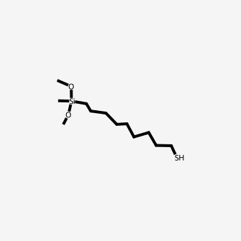 CO[Si](C)(CCCCCCCCCS)OC